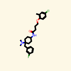 Cc1cc(Cl)ccc1OCCCC(=O)NC1CCC(Cc2cccc(F)c2)(N(C)C)CC1